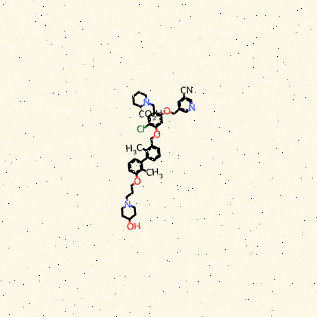 Cc1c(COc2cc(OCc3cncc(C#N)c3)c(CN3CCCC[C@H]3C(=O)O)cc2Cl)cccc1-c1cccc(OCCCN2CCC(O)CC2)c1C